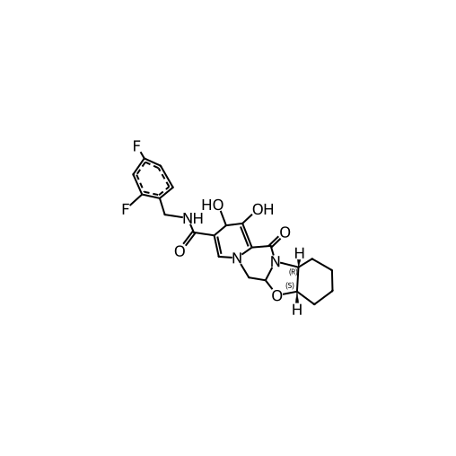 O=C(NCc1ccc(F)cc1F)C1=CN2CC3O[C@H]4CCCC[C@H]4N3C(=O)C2=C(O)C1O